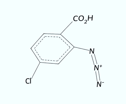 [N-]=[N+]=Nc1cc(Cl)ccc1C(=O)O